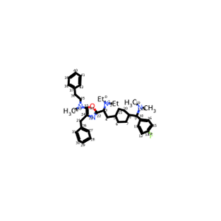 CCN(CC)C(CC1CCC(C(c2ccc(F)cc2)N(C)C)CC1)c1nc(Cc2ccccc2)c(N(C)CCc2ccccc2)o1